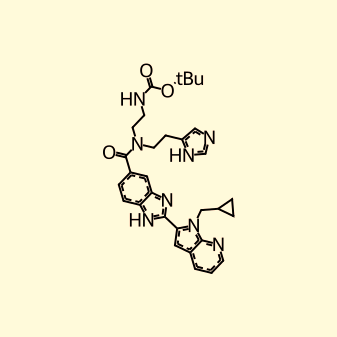 CC(C)(C)OC(=O)NCCN(CCc1cnc[nH]1)C(=O)c1ccc2[nH]c(-c3cc4cccnc4n3CC3CC3)nc2c1